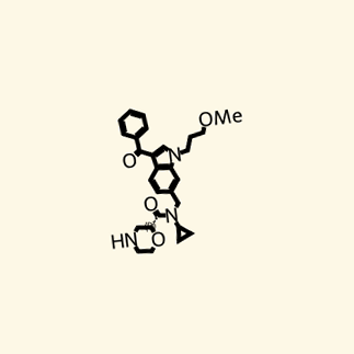 COCCCn1cc(C(=O)c2ccccc2)c2ccc(CN(C(=O)[C@H]3CNCCO3)C3CC3)cc21